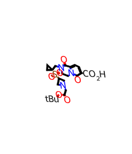 CC(C)(C)OC(=O)CN1CC(S(=O)(=O)C2(CN3CCn4c(ccc(C(=O)O)c4=O)C3=O)CC2)C1